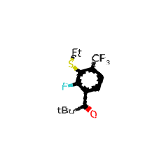 CCSc1c(C(F)(F)F)ccc(C(=O)C(C)(C)C)c1F